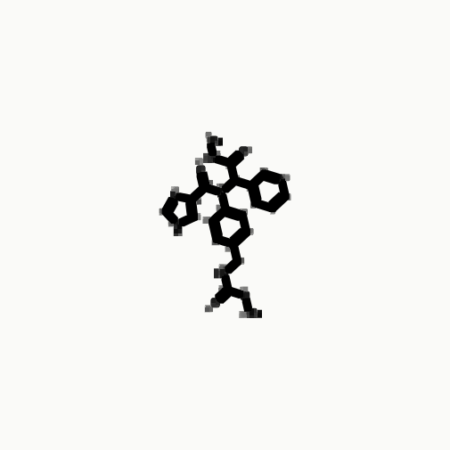 CC(C)(C)NC(=O)C(c1cccnc1)N(C(=O)c1c[nH]cn1)c1ccc(CNC(=O)OC(C)(C)C)cc1